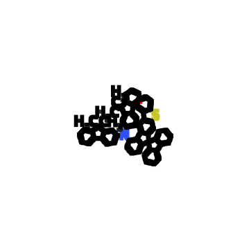 CC1(C)c2ccccc2-c2ccc(N(c3ccc4c(c3)C(C)(C)c3ccccc3-4)c3cccc4c3-c3cc5c(cc3C43c4ccccc4-c4ccccc43)sc3ccccc35)cc21